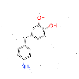 Nc1ccc(Cc2ccc(O)c(O)c2)cc1